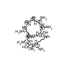 CC(C)CCCCCC(=O)N[C@@H](CCN)C(=O)N[C@H](C(=O)N[C@@H](CCN)C(=O)N[C@H]1CCNC(=O)[C@H]([C@@H](C)O)NC(=O)[C@H](CCN)NC(=O)[C@H](CCN)NC(=O)[C@H](CC(C)C)NC(=O)[C@@H](CC(C)C)NC(=O)[C@H](CCN)NC1=O)[C@@H](C)O